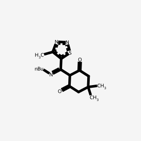 CCCCN=C(c1snnc1C)C1C(=O)CC(C)(C)CC1=O